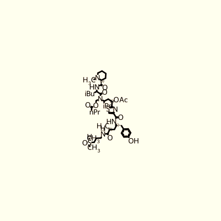 CCCC(=O)OCN(C(=O)C(NC(=O)[C@@H]1CCCCN1C)C(C)CC)C(C[C@H](OC(C)=O)c1nc(C(=O)N[C@H](Cc2ccc(O)cc2)C[C@@H](C)C(=O)NCCC[SH](C)(C)=O)cs1)C(C)C